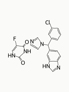 Clc1cccc(C(c2ccc3nc[nH]c3c2)n2ccnc2)c1.O=c1[nH]cc(F)c(=O)[nH]1